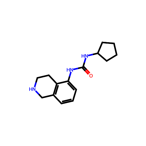 O=C(Nc1cccc2c1CCNC2)NC1CCCC1